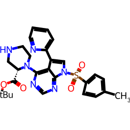 Cc1ccc(S(=O)(=O)n2cc(-c3ccccn3)c3c(N4CCNC[C@H]4C(=O)OC(C)(C)C)ncnc32)cc1